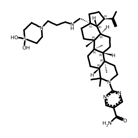 C=C(C)[C@@H]1CC[C@]2(CNCCCN3CCS(O)(O)CC3)CC[C@]3(C)[C@H](CC[C@@H]4[C@@]5(C)CCN(c6ncc(C(N)=O)cn6)C(C)(C)[C@@H]5CC[C@]43C)[C@@H]12